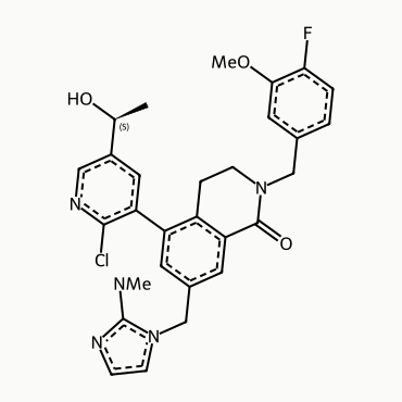 CNc1nccn1Cc1cc2c(c(-c3cc([C@H](C)O)cnc3Cl)c1)CCN(Cc1ccc(F)c(OC)c1)C2=O